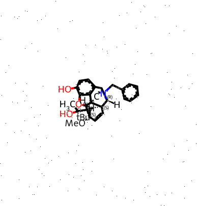 CO[C@@]12C=C[C@]3(C[C@@H]1[C@](C)(O)C(C)(C)C)[C@H]1Cc4ccc(O)c5c4[C@]3(CCN1Cc1ccccc1)[C@@H]2O5